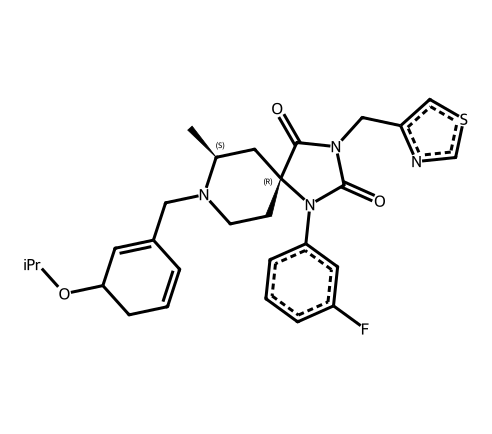 CC(C)OC1C=C(CN2CC[C@@]3(C[C@@H]2C)C(=O)N(Cc2cscn2)C(=O)N3c2cccc(F)c2)C=CC1